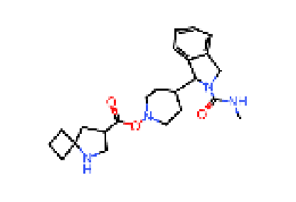 CNC(=O)N1Cc2ccccc2C1C1CCN(OC(=O)C2CNC3(CCC3)C2)CC1